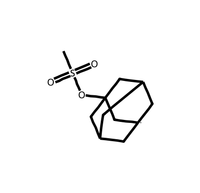 CS(=O)(=O)OC12C[C]3CC(CC(C3)C1)C2